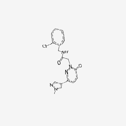 Cn1cc(-c2ccc(=O)n(CC(=O)NCc3ccccc3Cl)n2)cn1